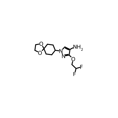 Nc1cn(C2CCC3(CC2)OCCO3)nc1OCC(F)F